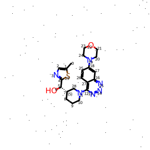 Cc1cnc(C(O)[C@H]2CCCN(c3nnnc4cc(N5CCOCC5)ccc34)C2)s1